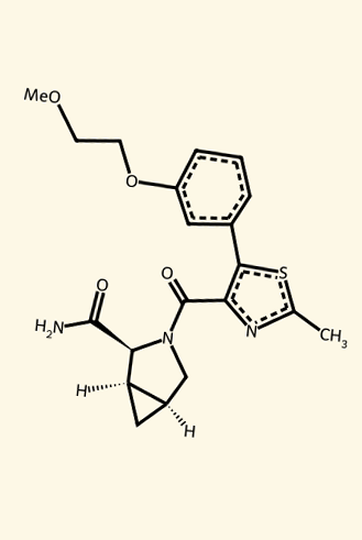 COCCOc1cccc(-c2sc(C)nc2C(=O)N2C[C@H]3C[C@H]3[C@H]2C(N)=O)c1